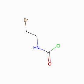 O=C(Cl)NCCBr